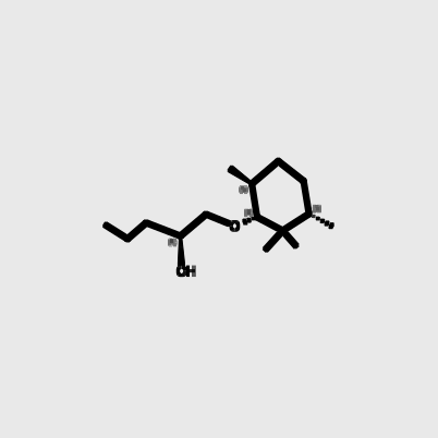 CCC[C@H](O)CO[C@@H]1[C@@H](C)CC[C@H](C)C1(C)C